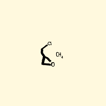 C.ClCC1CO1